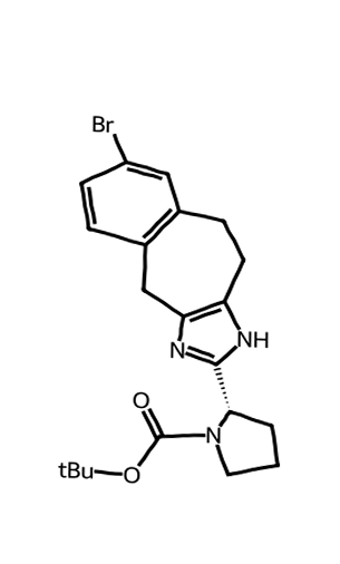 CC(C)(C)OC(=O)N1CCC[C@H]1c1nc2c([nH]1)CCc1cc(Br)ccc1C2